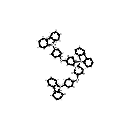 c1ccc2c(c1)-c1ccccc1[Si]2(c1ccc(Oc2ccc(-n3c4ccccc4c4ccccc43)cc2)cc1)c1ccc(Oc2ccc(-n3c4ccccc4c4ccccc43)cc2)cc1